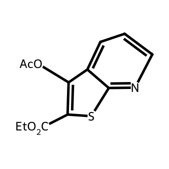 CCOC(=O)c1sc2ncccc2c1OC(C)=O